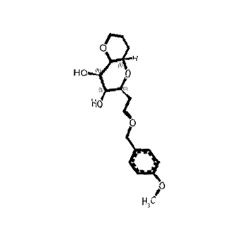 COc1ccc(COCC[C@@H]2O[C@H]3CCCOC3[C@H](O)[C@@H]2O)cc1